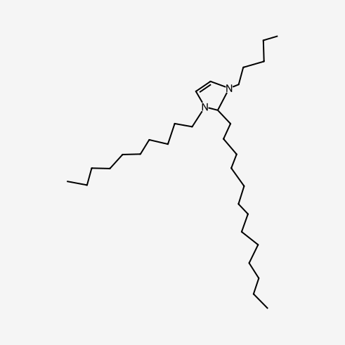 CCCCCCCCCCCCCC1N(CCCCC)C=CN1CCCCCCCCCC